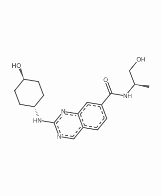 C[C@H](CO)NC(=O)c1ccc2cnc(N[C@H]3CC[C@H](O)CC3)nc2c1